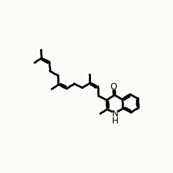 CC(C)=CCCC(C)=CCCC(C)=CCc1c(C)[nH]c2ccccc2c1=O